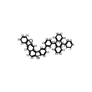 C1=CCCC(c2c3c(c(-c4cccc(-c5ccc6sc7ccc8cc9c%10c(oc9cc8c7c6c5)C=CCC%10)c4)c4ccccc24)=CCCC=3)=C1